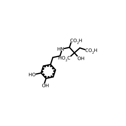 O=C(O)CC(O)(C(=O)O)C(NCCc1ccc(O)c(O)c1)C(=O)O